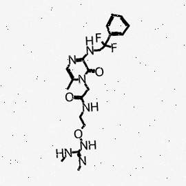 C/N=C(\NC)NOCCNC(=O)Cn1c(C)cnc(NCC(F)(F)c2ccccc2)c1=O